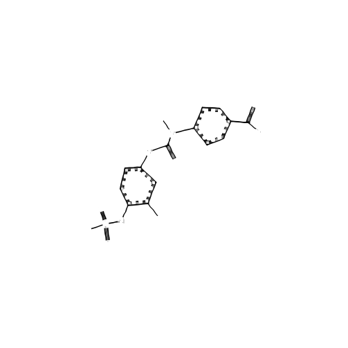 CS(=O)(=O)Nc1ccc(NC(=O)N(S)c2ccc(C(N)=O)cc2)cc1Cl